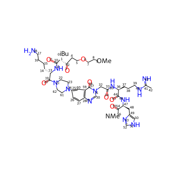 CC[C@H](C)[C@H](C(=O)CCOCCOC)C(=O)N[C@@H](CCCCN)C(=O)N1CCN(c2ccc3ncn(CC(=O)N[C@@H](CCCNC(C)=N)C(=O)N[C@@H](Cc4c[nH]cn4)C(=O)NC)c(=O)c3c2)CC1